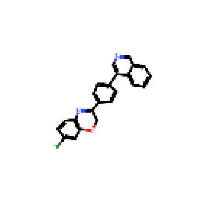 Clc1ccc2c(c1)OCC(c1ccc(-c3cncc4ccccc34)cc1)=N2